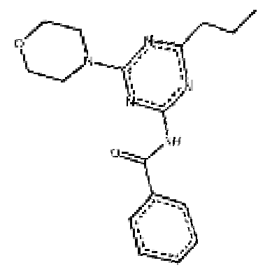 CCCc1nc(NC(=O)c2ccccc2)nc(N2CCOCC2)n1